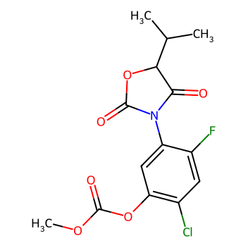 COC(=O)Oc1cc(N2C(=O)OC(C(C)C)C2=O)c(F)cc1Cl